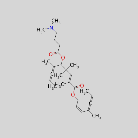 CC=C=C(C)/C=C\COC(=O)/C(C)=C/C(C)(C)C(OC(=O)CCCN(C)C)C(C)=C=CC